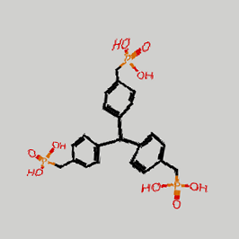 O=P(O)(O)Cc1ccc([C](c2ccc(CP(=O)(O)O)cc2)c2ccc(CP(=O)(O)O)cc2)cc1